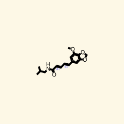 COc1cc(/C=C/C=C/C(=O)NCC(C)C)cc2c1OCO2